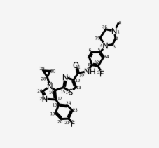 CN1CCN(c2ccc(NC(=O)c3csc(-c4c(-c5ccc(F)cc5)ncn4C4CC4)n3)c(F)c2)CC1